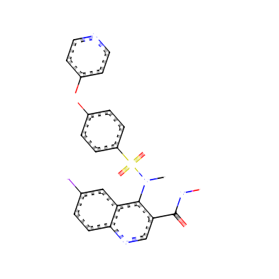 CN(c1c(C(=O)NO)cnc2ccc(I)cc12)S(=O)(=O)c1ccc(Oc2ccncc2)cc1